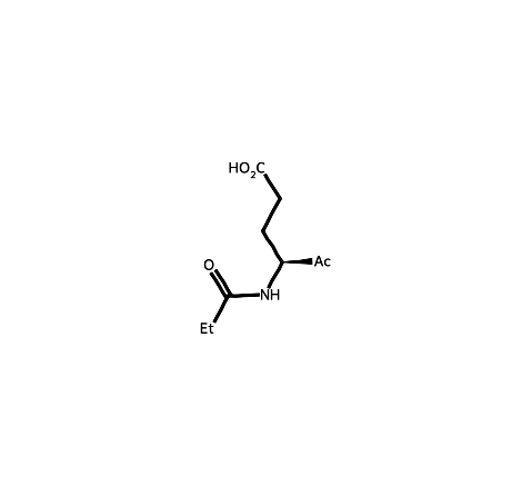 CCC(=O)N[C@@H](CCC(=O)O)C(C)=O